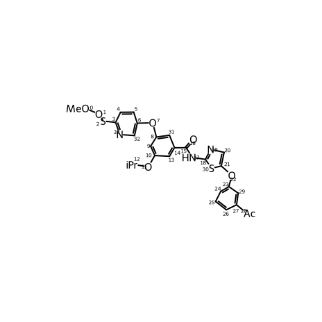 COOSc1ccc(Oc2cc(OC(C)C)cc(C(=O)Nc3ncc(Oc4cccc(C(C)=O)c4)s3)c2)cn1